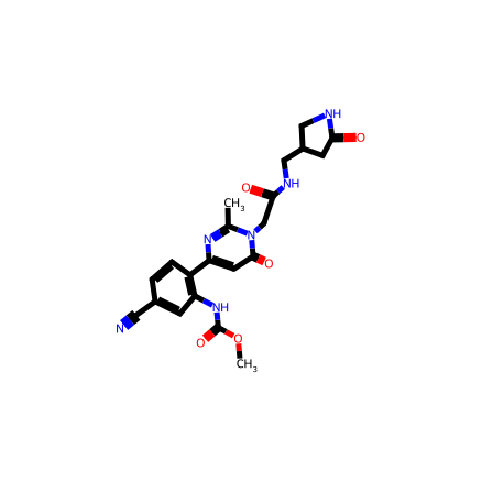 COC(=O)Nc1cc(C#N)ccc1-c1cc(=O)n(CC(=O)NCC2CNC(=O)C2)c(C)n1